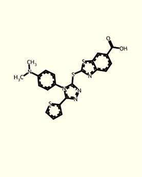 CN(C)c1ccc(-n2c(Sc3nc4ccc(C(=O)O)cc4s3)nnc2-c2cccs2)cc1